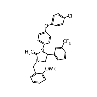 C=C1N(Cc2ccccc2OC)CC(c2cccc(C(F)(F)F)c2)N1c1ccc(Oc2ccc(Cl)cc2)cc1